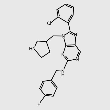 Fc1ccc(CNc2ncc3nc(-c4ccccc4Cl)n(CC4CCNC4)c3n2)cc1